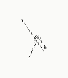 CCCCCCCCCCCCCCCC(OCC(CCCCCCCC)SSCCCCCCCCCC)O[Si](C)(C)OCCCCCCBr